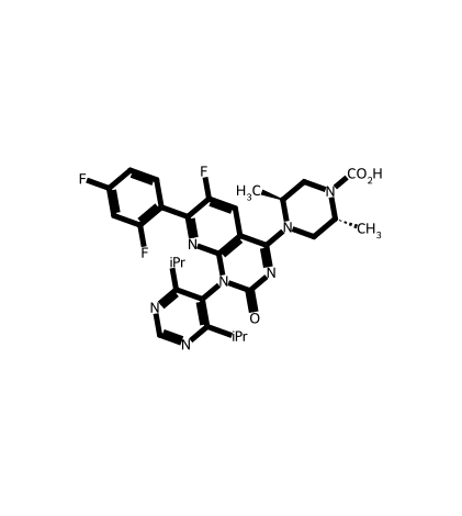 CC(C)c1ncnc(C(C)C)c1-n1c(=O)nc(N2C[C@@H](C)N(C(=O)O)C[C@@H]2C)c2cc(F)c(-c3ccc(F)cc3F)nc21